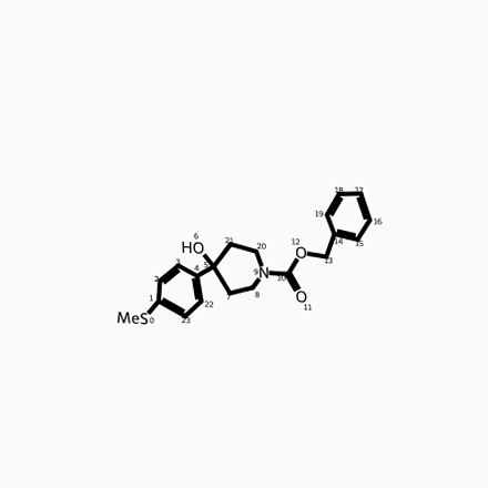 CSc1ccc(C2(O)CCN(C(=O)OCc3ccccc3)CC2)cc1